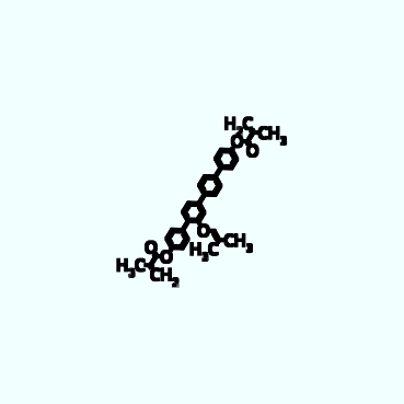 C=C(C)C(=O)Oc1ccc(-c2ccc(-c3ccc(-c4ccc(OC(=O)C(=C)C)cc4)c(OC=C(C)C)c3)cc2)cc1